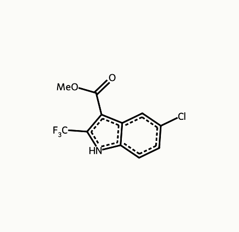 COC(=O)c1c(C(F)(F)F)[nH]c2ccc(Cl)cc12